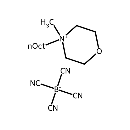 CCCCCCCC[N+]1(C)CCOCC1.N#C[B-](C#N)(C#N)C#N